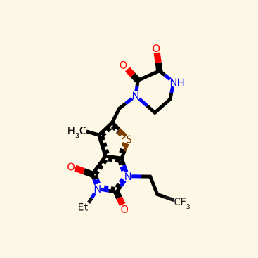 CCn1c(=O)c2c(C)c(CN3CCNC(=O)C3=O)sc2n(CCC(F)(F)F)c1=O